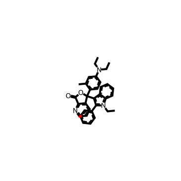 CCN(CC)c1ccc(C2(c3c(-c4ccccc4)n(CC)c4ccccc34)OC(=O)c3ncccc32)c(C)c1